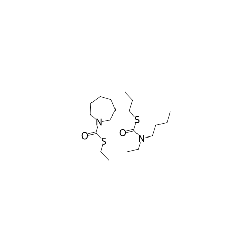 CCCCN(CC)C(=O)SCCC.CCSC(=O)N1CCCCCC1